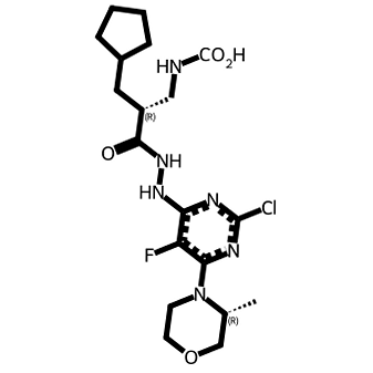 C[C@@H]1COCCN1c1nc(Cl)nc(NNC(=O)[C@@H](CNC(=O)O)CC2CCCC2)c1F